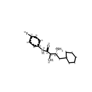 N[C@H](CC1CCCCC1)C(O)C(=O)Nc1ccc(F)cc1